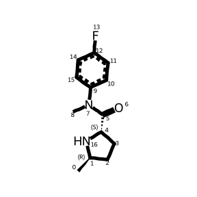 C[C@@H]1CC[C@@H](C(=O)N(C)c2ccc(F)cc2)N1